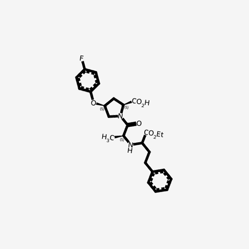 CCOC(=O)C(CCc1ccccc1)N[C@@H](C)C(=O)N1C[C@@H](Oc2ccc(F)cc2)C[C@H]1C(=O)O